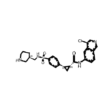 O=C(Nc1ccc2cncc(Cl)c2c1)[C@@H]1C[C@H]1c1ccc(S(=O)(=O)NC[C@@H]2CCCNC2)cc1